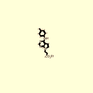 CCOC(=O)CCn1ccc2c(Nc3ccc(C)cc3)ncnc21